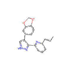 CC=Cc1cccc(-c2n[nH]cc2-c2ccc3c(c2)OCO3)n1